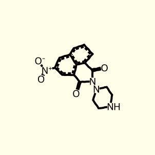 O=C1c2cccc3cc([N+](=O)[O-])cc(c23)C(=O)N1N1CCNCC1